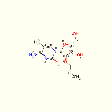 CCCO[C@@H]1[C@@H](O)[C@@H](CO)O[C@H]1n1cc(C)c(N)nc1=O